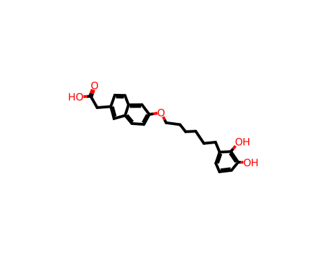 O=C(O)Cc1ccc2cc(OCCCCCCc3cccc(O)c3O)ccc2c1